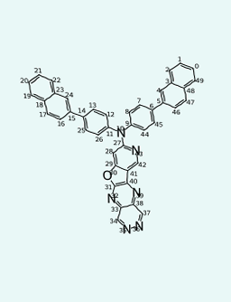 c1ccc2cc(-c3ccc(N(c4ccc(-c5ccc6ccccc6c5)cc4)c4cc5oc6nc7cnncc7nc6c5cn4)cc3)ccc2c1